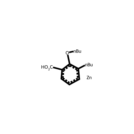 CCCCOc1c(CCCC)cccc1C(=O)O.[Zn]